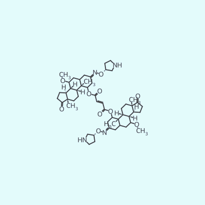 COC1CC2CC(=NO[C@@H]3CCNC3)CC(OC(=O)/C=C/C(=O)OC3CC(=NO[C@@H]4CCNC4)CC4CC(OC)[C@@H]5[C@@H](CC[C@]6(C)C(=O)CC[C@@H]56)[C@]43C)[C@]2(C)[C@@H]2CC[C@]3(C)C(=O)CC[C@H]3[C@H]12